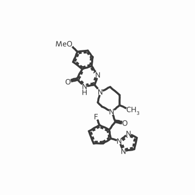 COc1ccc2nc(N3CCC(C)N(C(=O)c4c(F)cccc4-n4nccn4)CC3)[nH]c(=O)c2c1